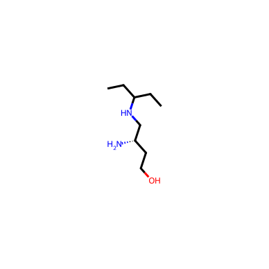 CCC(CC)NC[C@@H](N)CCO